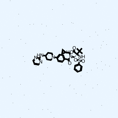 CC(C)(C)[C@@](CN(CC1CC1)C(=O)c1ccc(N2CCC(Nc3ncccn3)CC2)cc1)(NS(=O)(=O)c1ccccc1)C(=O)O